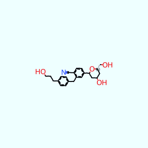 N#Cc1ccc(C2CC(O)C[C@@H](CO)O2)cc1Cc1ccc(CCCO)cc1